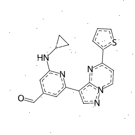 O=Cc1cc(NC2CC2)nc(-c2cnn3ccc(-c4cccs4)nc23)c1